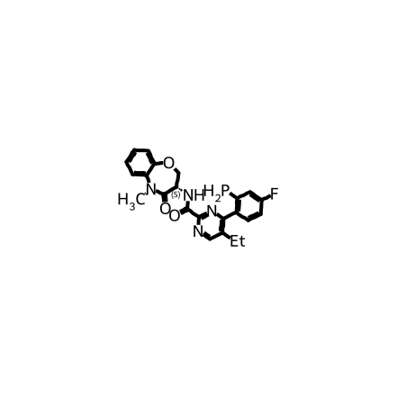 CCc1cnc(C(=O)N[C@H]2COc3ccccc3N(C)C2=O)nc1-c1ccc(F)cc1P